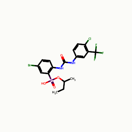 CCC(C)OP(=O)(O)c1cc(Br)ccc1NC(=O)Nc1ccc(Cl)c(C(F)(F)F)c1